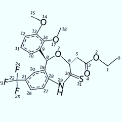 CCOC(=O)C[C@H]1O[C@H](c2cccc(OC)c2OC)c2cc(C(F)(F)F)ccc2NC1=S